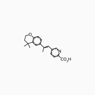 CC(=Cc1ccc(C(=O)O)nc1)c1ccc2c(c1)C(C)(C)CCO2